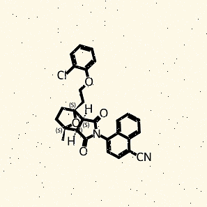 C[C@@]12CC[C@@](CCOc3ccccc3Cl)(O1)[C@H]1C(=O)N(c3ccc(C#N)c4ccccc34)C(=O)[C@H]12